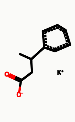 CC(CC(=O)[O-])c1ccccc1.[K+]